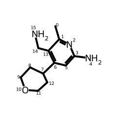 Cc1nc(N)cc(C2CCOCC2)c1CN